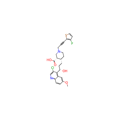 COc1ccc2ncc(Cl)c([C@@H](O)CC[C@H]3CCN(CC#Cc4sccc4F)C[C@H]3C(=O)O)c2c1